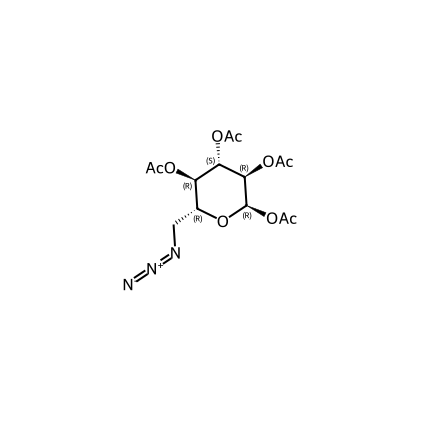 CC(=O)O[C@H]1O[C@H](CN=[N+]=[N-])[C@@H](OC(C)=O)[C@H](OC(C)=O)[C@H]1OC(C)=O